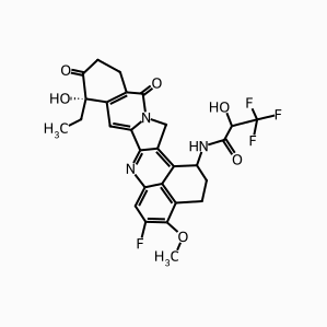 CC[C@@]1(O)C(=O)CCc2c1cc1n(c2=O)Cc2c-1nc1cc(F)c(OC)c3c1c2C(NC(=O)C(O)C(F)(F)F)CC3